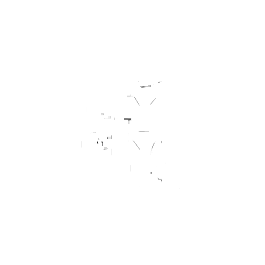 CC(C)(Oc1ccc(C(=O)c2ccc(Cl)cc2)cc1)C(=O)O.C[N+](C)(C)CCO